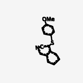 COc1ccc(Sc2cncc3ccccc23)cc1